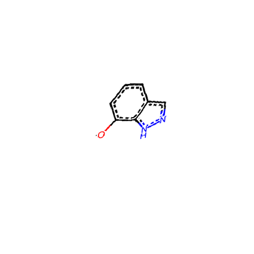 [O]c1cccc2cn[nH]c12